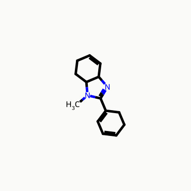 CN1C(C2=CC=CCC2)=NC2C=CCCC21